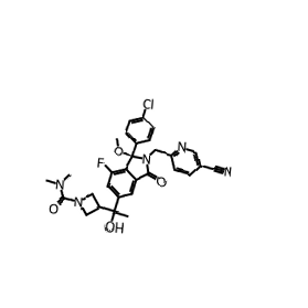 CO[C@]1(c2ccc(Cl)cc2)c2c(F)cc(C(C)(O)C3CN(C(=O)N(C)C)C3)cc2C(=O)N1Cc1ccc(C#N)cn1